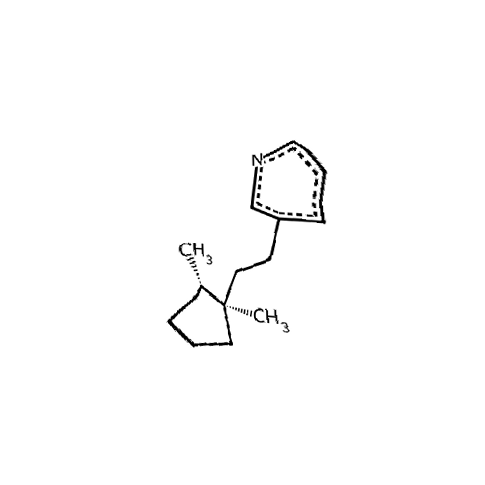 C[C@H]1CCC[C@]1(C)CCc1cccnc1